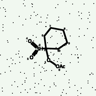 CC(=O)OOC1([SH](=O)=O)CCCCC1